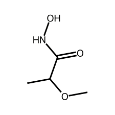 COC(C)C(=O)NO